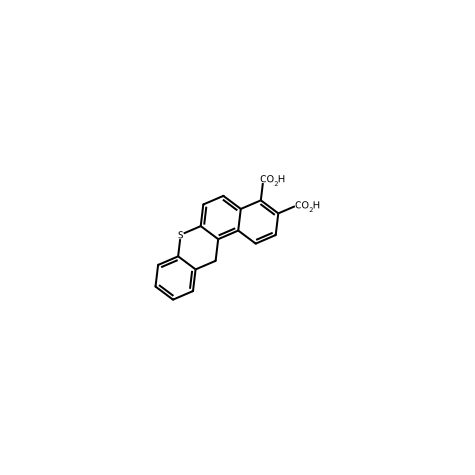 O=C(O)c1ccc2c3c(ccc2c1C(=O)O)Sc1ccccc1C3